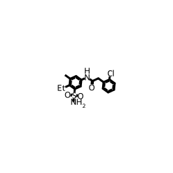 CCc1c(C)cc(NC(=O)Cc2ccccc2Cl)cc1S(N)(=O)=O